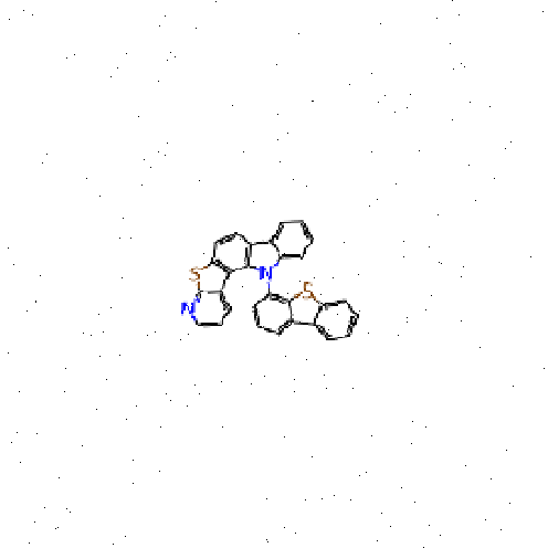 c1ccc2c(c1)sc1c(-n3c4ccccc4c4ccc5sc6ncccc6c5c43)cccc12